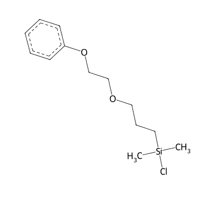 C[Si](C)(Cl)CCCOCCOc1ccccc1